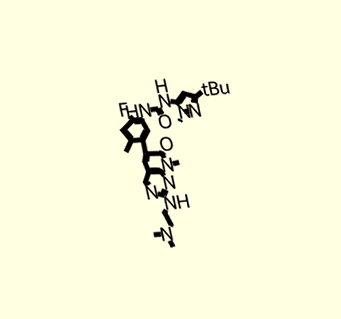 Cc1cc(F)c(NC(=O)Nc2cc(C(C)(C)C)nn2C)cc1-c1cc2cnc(NCCN(C)C)nc2n(C)c1=O